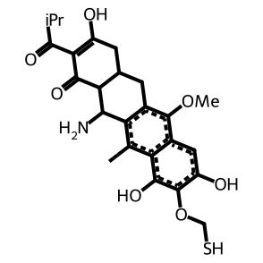 COc1c2c(c(C)c3c(O)c(OCS)c(O)cc13)C(N)C1C(=O)C(C(=O)C(C)C)=C(O)CC1C2